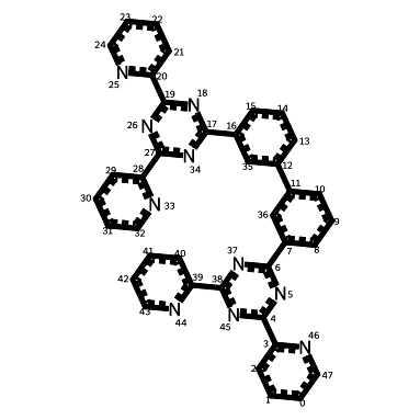 c1ccc(-c2nc(-c3cccc(-c4cccc(-c5nc(-c6ccccn6)nc(-c6ccccn6)n5)c4)c3)nc(-c3ccccn3)n2)nc1